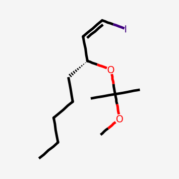 CCCCC[C@H](/C=C\I)OC(C)(C)OC